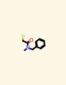 CN(Cc1ccccc1)C(=O)C[S]